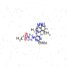 C=CS(=O)(=O)N1CCN(c2nc(OC)nc3c2CN(C)C(c2c(C)ccc4[nH]ncc24)C3)CC1